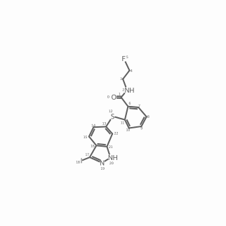 O=C(NCCF)c1ccccc1Sc1ccc2c(I)n[nH]c2c1